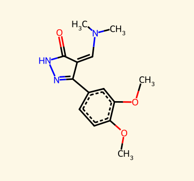 COc1ccc(C2=NNC(=O)C2=CN(C)C)cc1OC